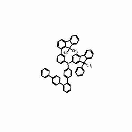 CC1(C)c2ccccc2-c2cccc(-c3cccc(N(c4ccc(-c5ccccc5-c5ccc(-c6ccccc6)cc5)cc4)c4ccc5c(c4)C(C)(c4ccccc4)c4ccccc4-5)c3)c21